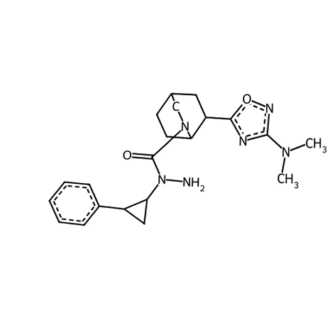 CN(C)c1noc(C2CC3CCC2N(C(=O)N(N)C2CC2c2ccccc2)C3)n1